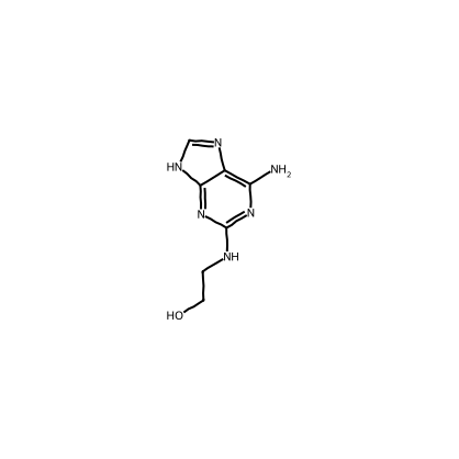 Nc1nc(NCCO)nc2[nH]cnc12